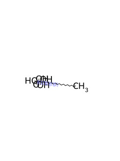 CCCCCCCCC/C=C/C=C/C=C/C=C(O)/C(O)=C(\O)C(=O)O